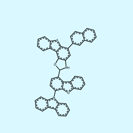 c1ccc2cc(-c3cc4c(c5c3sc3ccccc35)OC(c3ccc(-n5c6ccccc6c6ccccc65)c5oc6ccccc6c35)N4)ccc2c1